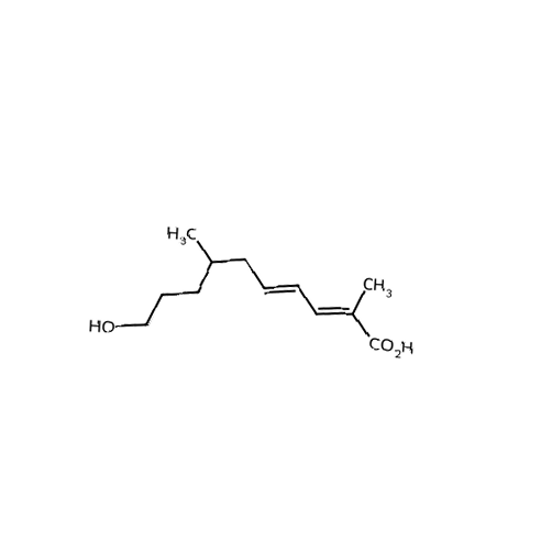 CC(=CC=CCC(C)CCCO)C(=O)O